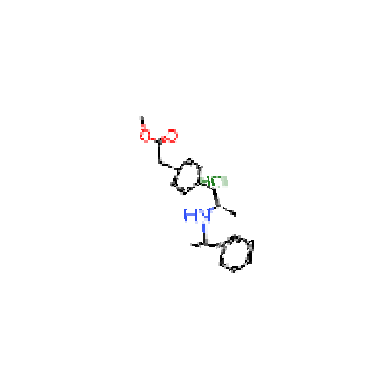 COC(=O)Cc1ccc(C[C@@H](C)NC(C)c2ccccc2)cc1.Cl